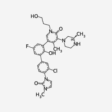 Cc1c(-c2cc(F)cc(-c3ccc(-n4ccn(C)c4=O)c(Cl)c3)c2O)cn(CCCO)c(=O)c1N1CCN[C@H](C)C1